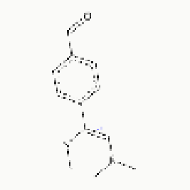 CS/C(=C\N(C)C)c1ccc(C=O)cc1